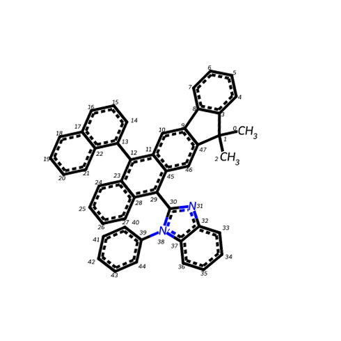 CC1(C)c2ccccc2-c2cc3c(-c4cccc5ccccc45)c4ccccc4c(-c4nc5ccccc5n4-c4ccccc4)c3cc21